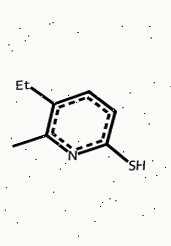 CCc1ccc(S)nc1C